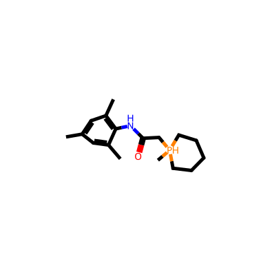 Cc1cc(C)c(NC(=O)C[PH]2(C)CCCCC2)c(C)c1